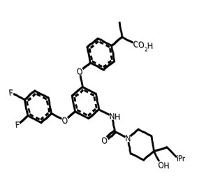 CC(C)CC1(O)CCN(C(=O)Nc2cc(Oc3ccc(C(C)C(=O)O)cc3)cc(Oc3ccc(F)c(F)c3)c2)CC1